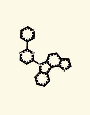 c1cncc(-c2nccc(-n3c4ccccc4c4c5sccc5ccc43)n2)c1